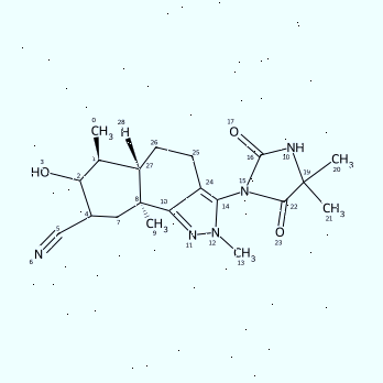 C[C@@H]1C(O)C(C#N)C[C@]2(C)c3nn(C)c(N4C(=O)NC(C)(C)C4=O)c3CC[C@@H]12